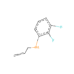 C=CCPc1cccc(F)c1F